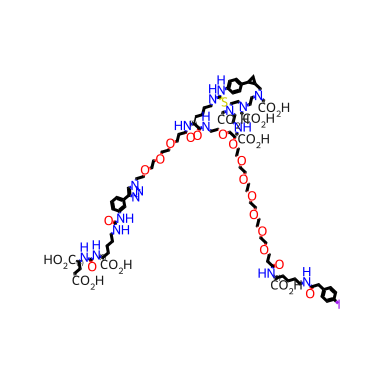 O=C(O)CC[C@H](NC(=O)N[C@@H](CCCCNC(=O)Nc1cccc(-c2cn(CCOCCOCCOCCC(=O)N[C@@H](CCCCNC(=S)Nc3ccc(C4CC4CN(CCN(CCN(CCNCC(=O)O)CC(=O)O)CC(=O)O)CC(=O)O)cc3)C(=O)NCCOCCOCCOCCOCCOCCOCCOCCOCCC(=O)N[C@@H](CCCCNC(=O)Cc3ccc(I)cc3)C(=O)O)nn2)c1)C(=O)O)C(=O)O